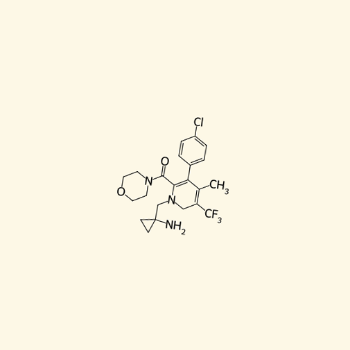 CC1=C(C(F)(F)F)CN(CC2(N)CC2)C(C(=O)N2CCOCC2)=C1c1ccc(Cl)cc1